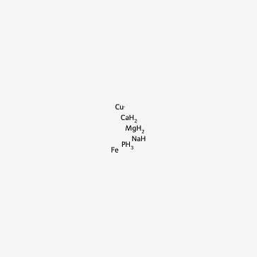 P.[CaH2].[Cu].[Fe].[MgH2].[NaH]